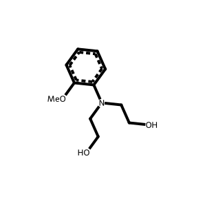 COc1ccccc1N(CCO)CCO